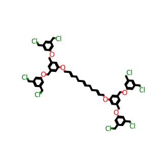 ClCc1cc(CCl)cc(OCc2cc(COc3cc(CCl)cc(CCl)c3)cc(OCC=CCCC=CCCC=CCOc3cc(COc4cc(CCl)cc(CCl)c4)cc(COc4cc(CCl)cc(CCl)c4)c3)c2)c1